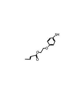 CC=CC(=O)OCCOc1ccc(S)cc1